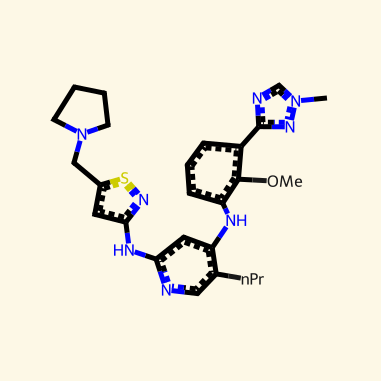 CCCc1cnc(Nc2cc(CN3CCCC3)sn2)cc1Nc1cccc(-c2ncn(C)n2)c1OC